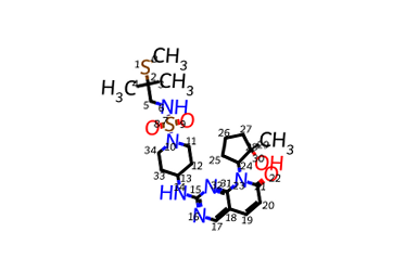 CSC(C)(C)CNS(=O)(=O)N1CCC(Nc2ncc3ccc(=O)n(C4CCC[C@]4(C)O)c3n2)CC1